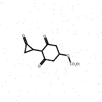 CCOC(=O)OC1CC(=O)C(C2CC2=O)C(=O)C1